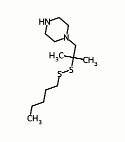 CCCCCSSC(C)(C)CN1CCNCC1